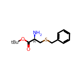 CC(C)(C)OC(=O)[C@@H](N)CSCc1ccccc1